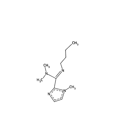 CCCC/N=C(/c1nccn1C)N(C)C